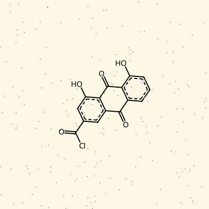 O=C(Cl)c1cc(O)c2c(c1)C(=O)c1cccc(O)c1C2=O